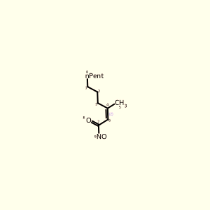 CCCCCCCC/C(C)=C\C(=O)N=O